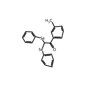 Cc1cccc(C(=O)C([Se]c2ccccc2)[Se]c2ccccc2)c1